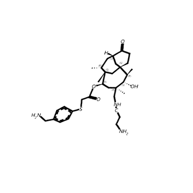 C[C@@H]1C[C@H]2C[C@@]3(CCC2=O)C[C@]1(C)[C@H](OC(=O)CSc1ccc(CN)cc1)C[C@](C)(CNCCCN)[C@@H](O)[C@@H]3C